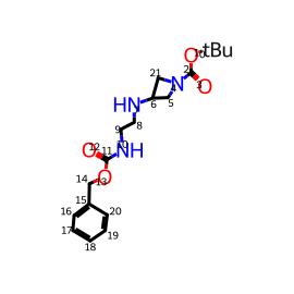 CC(C)(C)OC(=O)N1CC(NCCNC(=O)OCc2ccccc2)C1